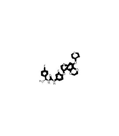 C[C@@H](NC(=O)Nc1ccc(Oc2ccnc3cc(OC4CCOCC4)c4c(c23)OCCO4)c(F)c1)c1ccc(F)cc1